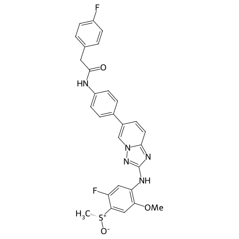 COc1cc([S@@+](C)[O-])c(F)cc1Nc1nc2ccc(-c3ccc(NC(=O)Cc4ccc(F)cc4)cc3)cn2n1